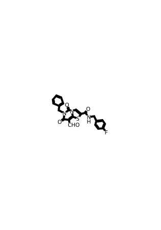 O=Cc1c(=O)n(Cc2ccccc2)c(=O)n2cc(C(=O)NCc3ccc(F)cc3)sc12